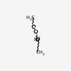 CCCCCCCc1cnc(CC[C@H]2CC[C@H]([C@H]3CC[C@H](CCCCC)CC3)CC2)nc1